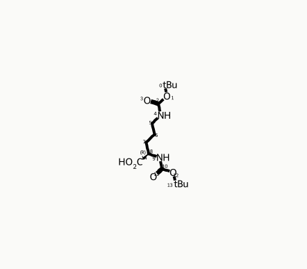 CC(C)(C)OC(=O)NCCC[C@@H](NC(=O)OC(C)(C)C)C(=O)O